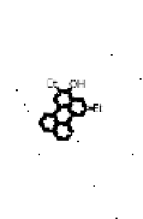 CCc1cc2c(O)c(CC)cc3c4cccc5cccc(c(c1)c23)c54